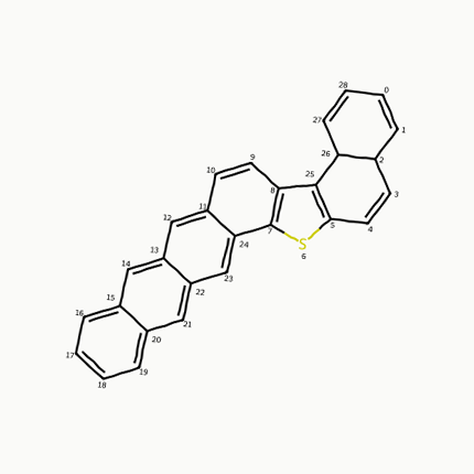 C1=CC2C=Cc3sc4c(ccc5cc6cc7ccccc7cc6cc54)c3C2C=C1